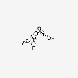 O=C(c1ccc2nc(-c3ccc(F)cc3)c(-c3ccc(F)cc3)nc2c1)N1CCN(CCO)CC1